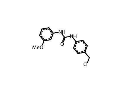 COc1cccc(NC(=O)Nc2ccc(CCl)cc2)c1